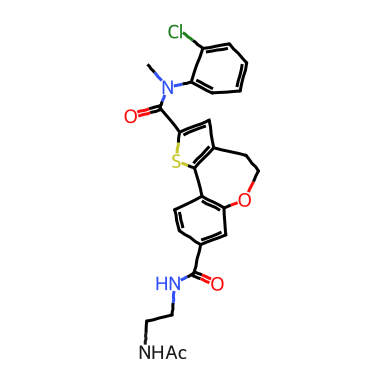 CC(=O)NCCNC(=O)c1ccc2c(c1)OCCc1cc(C(=O)N(C)c3ccccc3Cl)sc1-2